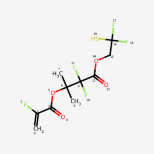 C=C(F)C(=O)OC(C)(C)C(F)(F)C(=O)OCC(F)(F)S